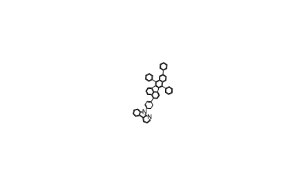 C1=C(c2ccc3c4c(cccc24)-c2c-3c(-c3ccccc3)c3ccc(-c4ccccc4)cc3c2-c2ccccc2)CCC(n2c3ccccc3c3cccnc32)=C1